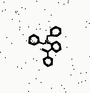 [CH]=C(c1ccccc1)c1ccccc1N(Cc1ccccc1)Cc1ccccc1